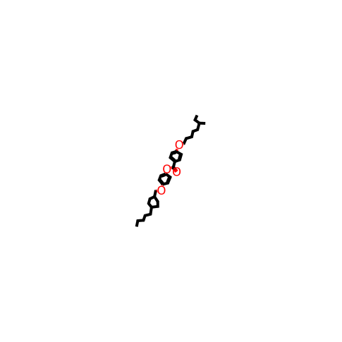 CCCCCC1CCC(COc2ccc(OC(=O)c3ccc(OCCCCCC(C)CC)cc3)cc2)CC1